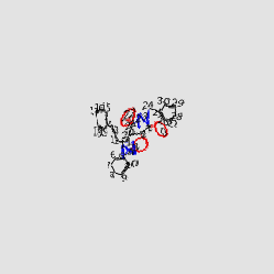 O=C1C2ON(c3ccccc3)C(C=Cc3ccccc3)C2C(=O)N1Cc1ccccc1